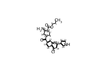 CCCOC(=O)N1CCN(C(=O)c2ccc3c(Cl)cc(-c4cc[nH]c4)nc3c2)C[C@H]1N